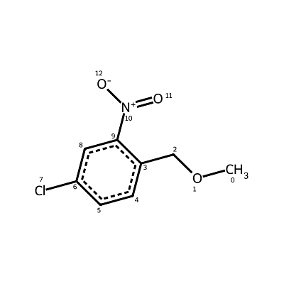 COCc1ccc(Cl)cc1[N+](=O)[O-]